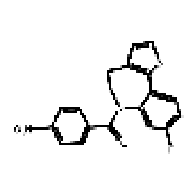 O=C(c1ccc([N+](=O)[O-])cc1)N1CCc2ccsc2-c2ccc(F)cc21